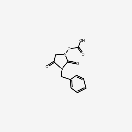 O=C(O)ON1CC(=O)N(Cc2ccccc2)C1=O